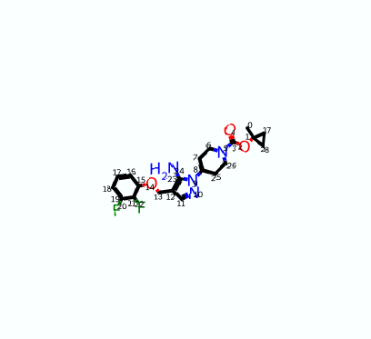 CC1(OC(=O)N2CCC(n3ncc(COC4C=CC=C(F)C4F)c3N)CC2)CC1